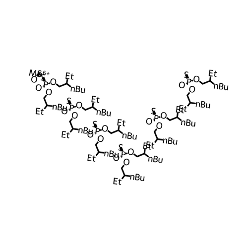 CCCCC(CC)COP([O-])(=S)OCC(CC)CCCC.CCCCC(CC)COP([O-])(=S)OCC(CC)CCCC.CCCCC(CC)COP([O-])(=S)OCC(CC)CCCC.CCCCC(CC)COP([O-])(=S)OCC(CC)CCCC.CCCCC(CC)COP([O-])(=S)OCC(CC)CCCC.CCCCC(CC)COP([O-])(=S)OCC(CC)CCCC.O=S.[Mo+6]